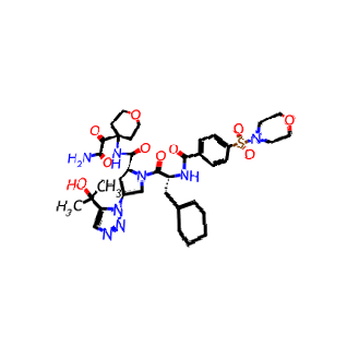 CC(C)(O)c1cnnn1[C@H]1C[C@@H](C(=O)NC2(C(=O)C(N)=O)CCOCC2)N(C(=O)[C@@H](CC2CCCCC2)NC(=O)c2ccc(S(=O)(=O)N3CCOCC3)cc2)C1